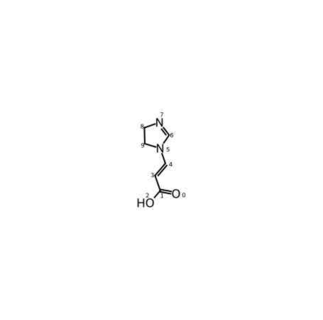 O=C(O)C=CN1C=NCC1